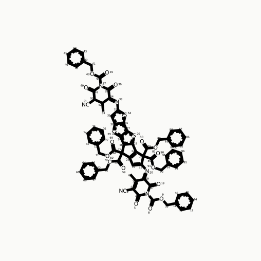 CC1=C(C#N)C(=O)N(C(=O)OCc2ccccc2)C(=O)/C1=N/C1=CC2=C(c3sc4c(sc5cc(/N=C6/C(=O)N(C(=O)OCc7ccccc7)C(=O)C(C#N)C6C)sc54)c3C2(C(=O)OCc2ccccc2)C(=O)OCc2ccccc2)C1(C(=O)OCc1ccccc1)C(=O)OCc1ccccc1